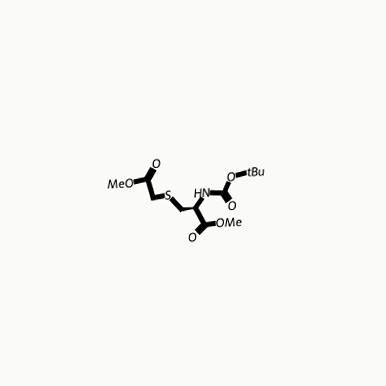 COC(=O)CSC[C@@H](NC(=O)OC(C)(C)C)C(=O)OC